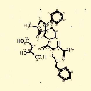 CC(C)C(=O)N[C@H](COCc1ccccc1)C(=O)N1CCC[C@@]2(C1)C(=O)N(C)C[C@H]2c1ccccc1.O=C(O)CC(O)C(=O)O